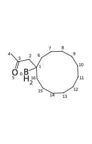 BC1(CC(C)=O)CCCCCCCCCCC1